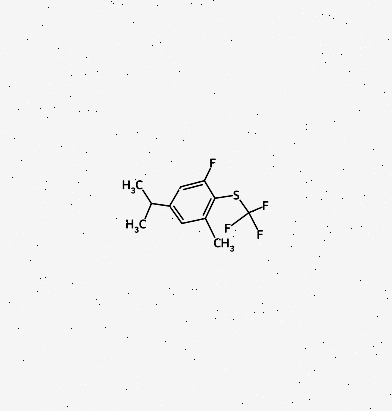 Cc1cc(C(C)C)cc(F)c1SC(F)(F)F